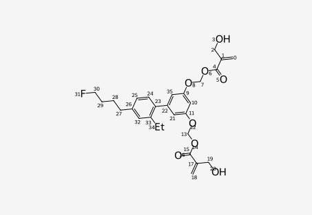 C=C(CO)C(=O)OCOc1cc(OCOC(=O)C(=C)CO)cc(-c2ccc(CCCCF)cc2CC)c1